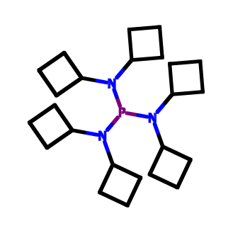 C1CC(N(C2CCC2)P(N(C2CCC2)C2CCC2)N(C2CCC2)C2CCC2)C1